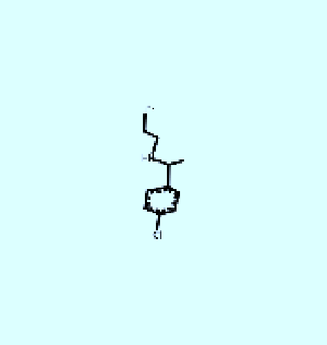 CC(C)CCNC(C)c1ccc(Cl)cc1